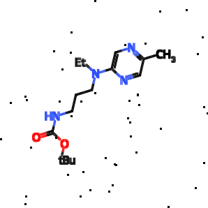 CCN(CCCNC(=O)OC(C)(C)C)c1cnc(C)cn1